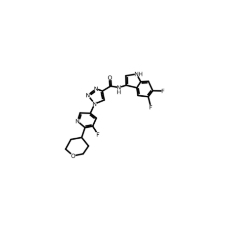 O=C(Nc1c[nH]c2cc(F)c(F)cc12)c1cn(-c2cnc(C3CCOCC3)c(F)c2)nn1